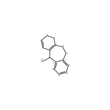 ClC1C2=C(CCC=C2)CCc2ccccc21